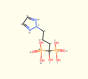 O=P(O)(O)C(O)(CCCn1nccn1)P(=O)(O)O